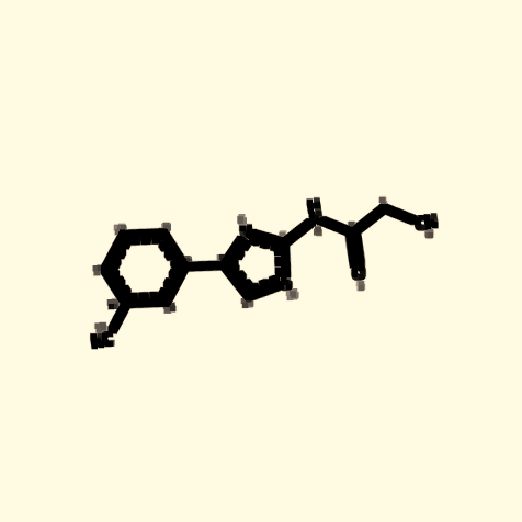 N#CCC(=O)Nc1nc(-c2cccc(C#N)c2)cs1